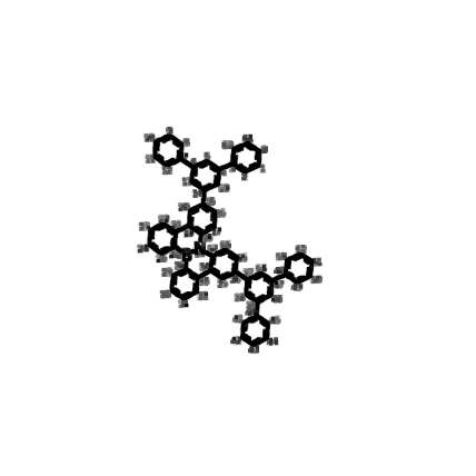 c1ccc(-c2cc(-c3ccccc3)cc(-c3ccc4c(c3)-c3ccccc3B3c5ccccc5-c5cc(-c6cc(-c7ccccc7)cc(-c7ccccc7)c6)ccc5N34)c2)cc1